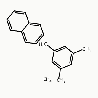 C.Cc1cc(C)cc(C)c1.c1ccc2ccccc2c1